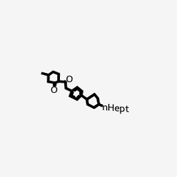 CCCCCCCC1CCC(c2ccc(CC(=O)C3CCC(C)CC3=O)cc2)CC1